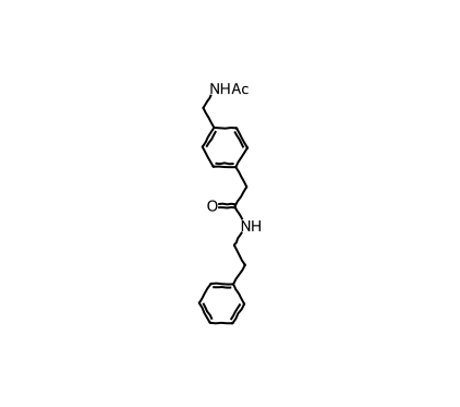 CC(=O)NCc1ccc(CC(=O)NCCc2ccccc2)cc1